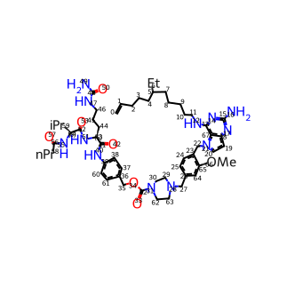 C=CCCCC(CC)CCCCCNc1nc(N)nc2ccn(Cc3ccc(CN4CCN(C(=O)OCc5ccc(NC(=O)[C@H](CCCNC(N)=O)NC(=O)[C@@H](NC(=O)CCC)C(C)C)cc5)CC4)cc3OC)c12